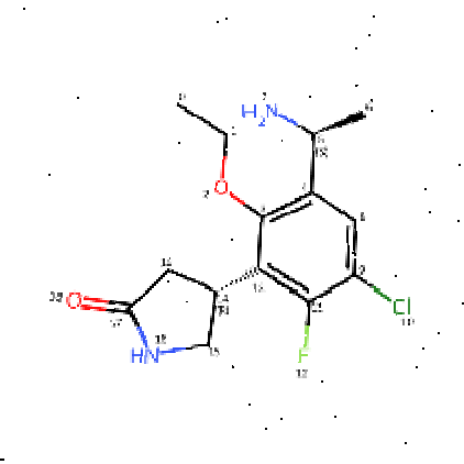 CCOc1c([C@H](C)N)cc(Cl)c(F)c1[C@@H]1CNC(=O)C1